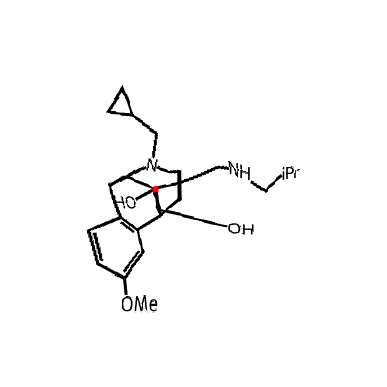 COc1ccc2c(c1)C13CCN(CC4CC4)C(C2)C1(O)CC(NCC(C)C)C(O)C3